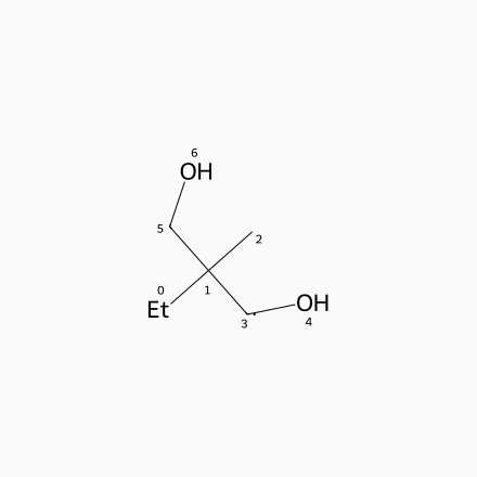 CCC(C)([CH]O)CO